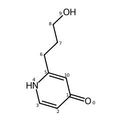 O=c1cc[nH]c(CCCO)c1